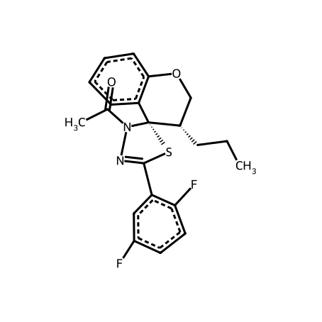 CCC[C@H]1COc2ccccc2[C@@]12SC(c1cc(F)ccc1F)=NN2C(C)=O